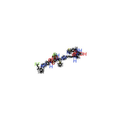 C=C(CCC(F)F)C1=C(CN2CCN(c3ccc(C(=O)NS(=O)(=O)c4ccc(N[C@H](CCN5CCN(CCCCCCC(=O)N[C@H](C(=O)N6C[C@H](O)C[C@H]6C(=O)N[C@@H](C)c6ccc(-c7scnc7C)cc6)C(C)(C)C)CC5)CSc5ccccc5)c(S(=O)(=O)C(F)(F)F)c4)cc3)CC2)CCC(C)(C)C1